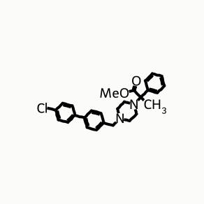 COC(=O)C(C)(c1ccccc1)N1CCN(Cc2ccc(-c3ccc(Cl)cc3)cc2)CC1